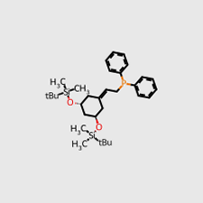 CC(C)(C)[Si](C)(C)O[C@@H]1CC(=CCP(c2ccccc2)c2ccccc2)C[C@@H](O[Si](C)(C)C(C)(C)C)C1